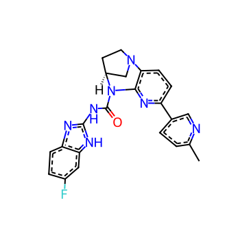 Cc1ccc(-c2ccc3c(n2)N(C(=O)Nc2nc4ccc(F)cc4[nH]2)[C@H]2CCN3C2)cn1